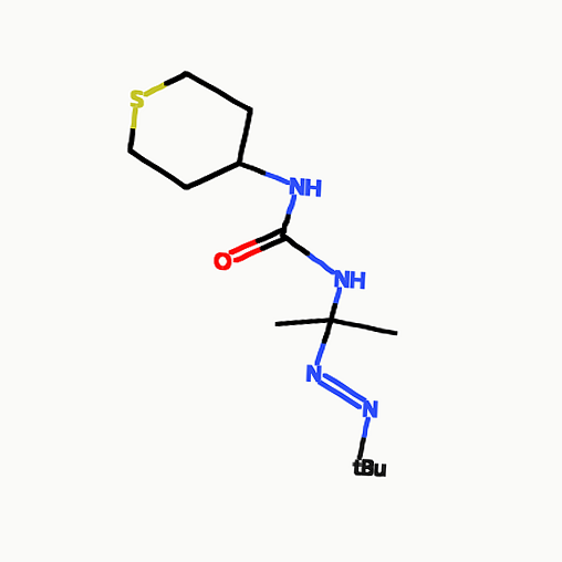 CC(C)(C)/N=N/C(C)(C)NC(=O)NC1CCSCC1